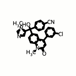 Cn1cncc1C(O)(c1ccc(C#N)cc1)c1ccc2c(c1)c(-c1cccc(Cl)c1)cc(=O)n2C